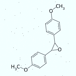 COc1ccc(C2OC2c2ccc(OC)cc2)cc1